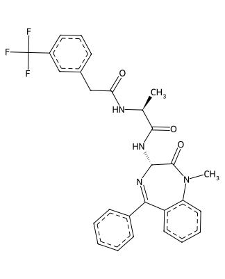 C[C@H](NC(=O)Cc1cccc(C(F)(F)F)c1)C(=O)N[C@H]1N=C(c2ccccc2)c2ccccc2N(C)C1=O